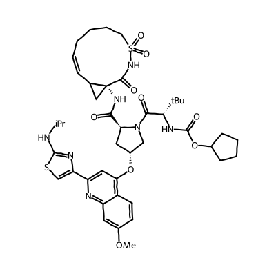 COc1ccc2c(O[C@@H]3C[C@@H](C(=O)N[C@]45CC4/C=C\CCCCS(=O)(=O)NC5=O)N(C(=O)[C@@H](NC(=O)OC4CCCC4)C(C)(C)C)C3)cc(-c3csc(NC(C)C)n3)nc2c1